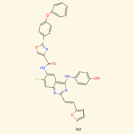 O=Nc1ccc(/C=C/c2nc(Nc3ccc(O)cc3)c3cc(NC(=O)c4coc(-c5ccc(Oc6ccccc6)cc5)n4)c(F)cc3n2)o1